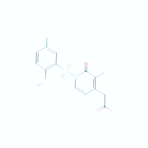 COc1ccc(Cl)cc1S(=O)(=O)n1ccc(CC(=O)O)c(N)c1=O